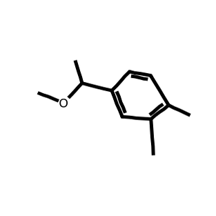 COC(C)c1ccc(C)c(C)c1